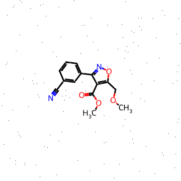 COCc1onc(-c2cccc(C#N)c2)c1C(=O)OC